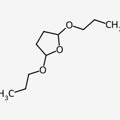 CCCOC1CCC(OCCC)O1